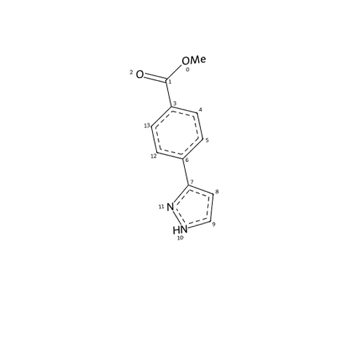 COC(=O)c1ccc(-c2cc[nH]n2)cc1